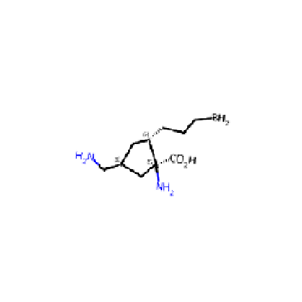 BCCC[C@H]1C[C@H](CN)C[C@@]1(N)C(=O)O